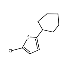 Clc1ccc(C2CCCCC2)s1